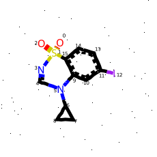 O=S1(=O)N=CN(C2CC2)c2cc(I)ccc21